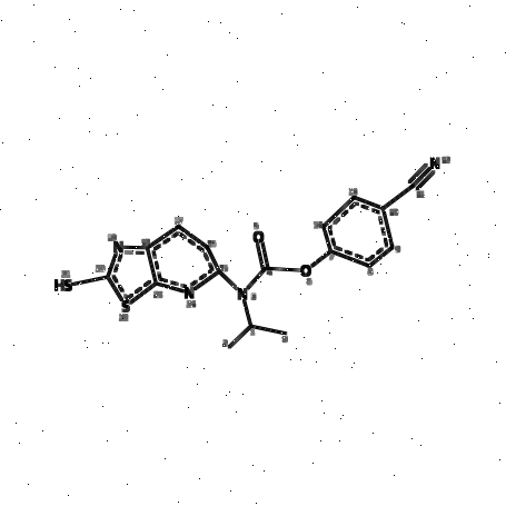 CC(C)N(C(=O)Oc1ccc(C#N)cc1)c1ccc2nc(S)sc2n1